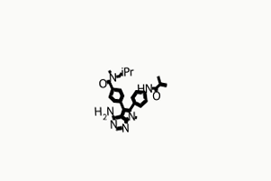 C=C(C)C(=O)Nc1ccc(-c2c(-c3ccc(C(=O)N(C)CC(C)C)cc3)c3c(N)ncnc3n2C)cc1